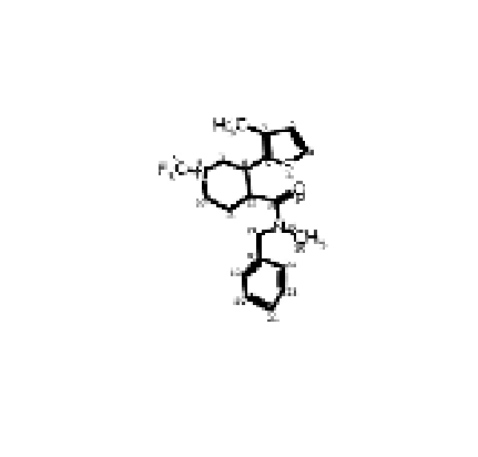 Cc1ccsc1C1CN(C(F)(F)F)CCC1C(=O)N(C)Cc1ccccc1